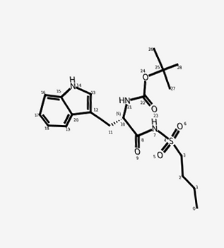 CCCCS(=O)(=O)NC(=O)[C@H](Cc1c[nH]c2ccccc12)NC(=O)OC(C)(C)C